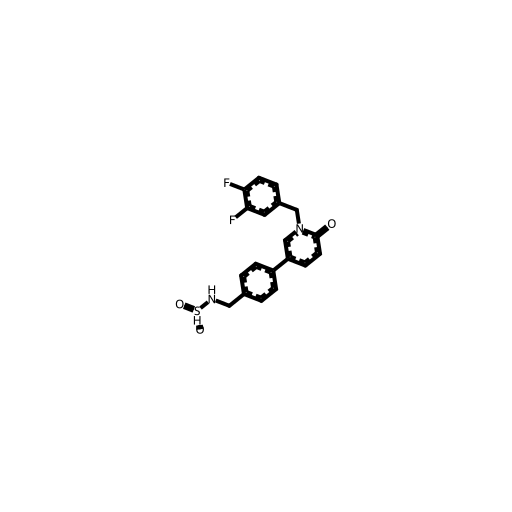 O=c1ccc(-c2ccc(CN[SH](=O)=O)cc2)cn1Cc1ccc(F)c(F)c1